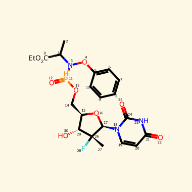 CCOC(=O)C(C)N(Oc1ccccc1)[PH](=O)OC[C@H]1O[C@@H](n2ccc(=O)[nH]c2=O)[C@](C)(F)[C@@H]1O